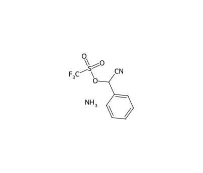 N.N#CC(OS(=O)(=O)C(F)(F)F)c1ccccc1